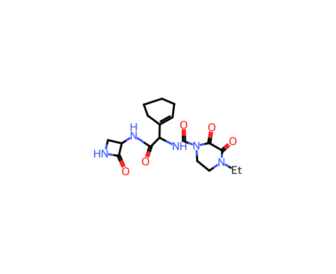 CCN1CCN(C(=O)NC(C(=O)NC2CNC2=O)C2=CCCCC2)C(=O)C1=O